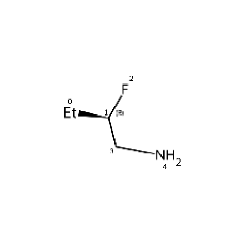 CC[C@@H](F)CN